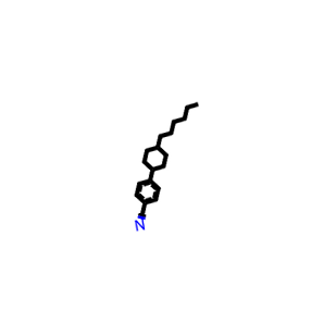 CCCCCCC1CCC(c2ccc(C#N)cc2)CC1